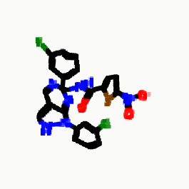 O=C(NC1(c2cccc(F)c2)N=CC2=CNN(c3cccc(Cl)c3)C2=N1)c1ccc([N+](=O)[O-])s1